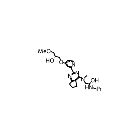 COC[C@@H](O)COc1ccnc(-c2nc3c(c(N(C)CC(O)NC(C)C)n2)CCC3)c1